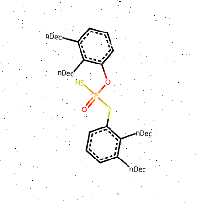 CCCCCCCCCCc1cccc(OP(=O)(S)Sc2cccc(CCCCCCCCCC)c2CCCCCCCCCC)c1CCCCCCCCCC